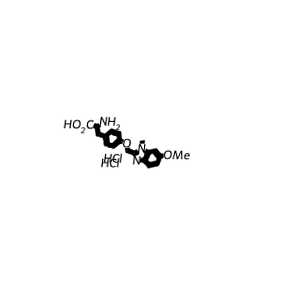 COc1ccc2nc(COc3ccc(CC(N)C(=O)O)cc3)n(C)c2c1.Cl.Cl